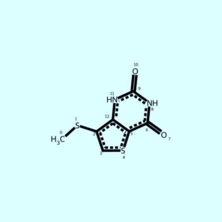 CSc1csc2c(=O)[nH]c(=O)[nH]c12